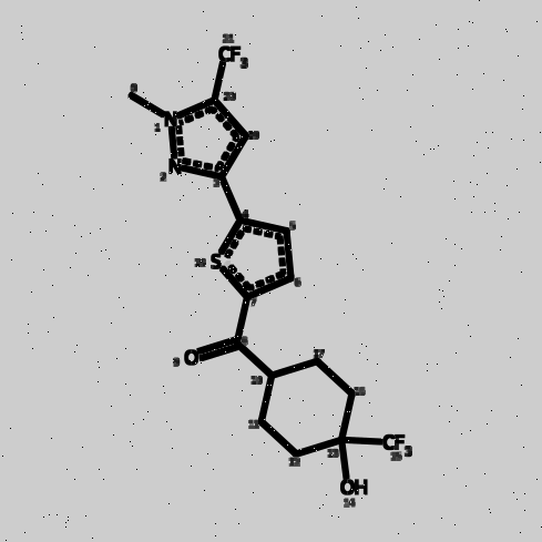 Cn1nc(-c2ccc(C(=O)C3CCC(O)(C(F)(F)F)CC3)s2)cc1C(F)(F)F